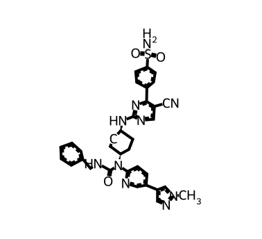 Cn1cc(-c2ccc(N(C(=O)NCc3ccccc3)[C@H]3CC[C@H](Nc4ncc(C#N)c(-c5ccc(S(N)(=O)=O)cc5)n4)CC3)nc2)cn1